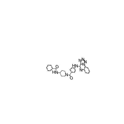 O=C(NC1CCN(C(=O)c2ccc(Nc3nc4ccccc4n4nnnc34)cc2)CC1)c1ccccc1